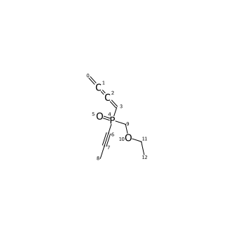 C=C=C=CP(=O)(C#CC)COCC